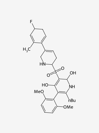 CCCCC1=C(c2c(OC)cccc2OC)C(O)=C(S(=O)(=O)C2CC=C(C3=CCC(F)C=C3C)CN2)C(O)N1